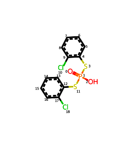 O=P(O)(Sc1ccccc1Cl)Sc1ccccc1Cl